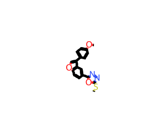 COc1ccc(-c2coc3ccc(-c4nnc(SC)o4)cc23)cc1